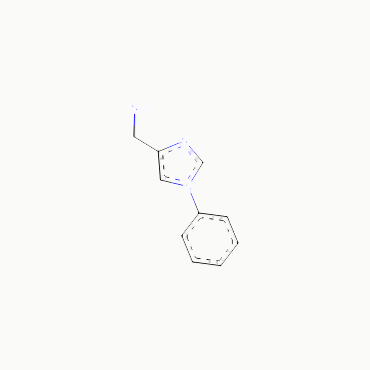 NCc1cn(-c2ccccc2)cn1